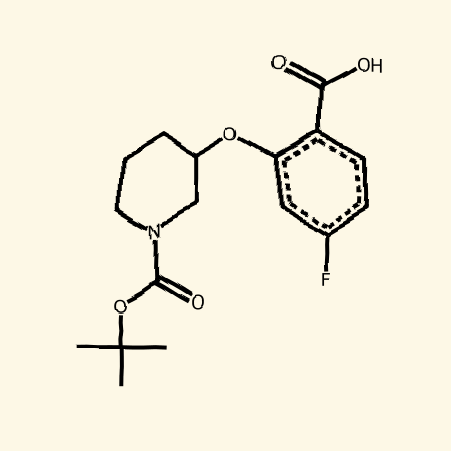 CC(C)(C)OC(=O)N1CCCC(Oc2cc(F)ccc2C(=O)O)C1